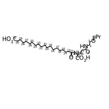 CCCOCCNC(=O)CCC(NC(=O)CCCCCCCCCCCCCCCCCCC(=O)O)C(=O)O